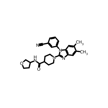 Cc1cc2nc(N3CCC(C(=O)NC4CCOC4)CC3)n(-c3cccc(C#N)c3)c2cc1C